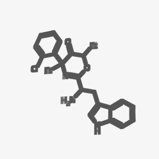 CCC1OC(C(N)Cc2c[nH]c3ccccc23)=NC(CC)(c2ccccc2Cl)C1=O